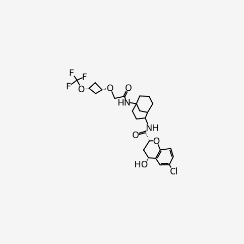 O=C(CO[C@H]1C[C@@H](OC(F)(F)F)C1)NC12CCCC(C1)C(NC(=O)[C@H]1C[C@@H](O)c3cc(Cl)ccc3O1)CC2